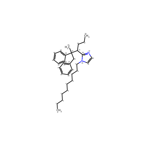 CCCCCCCCCCn1ccnc1C(CCC)C(C)(Cc1ccccc1)c1ccccc1